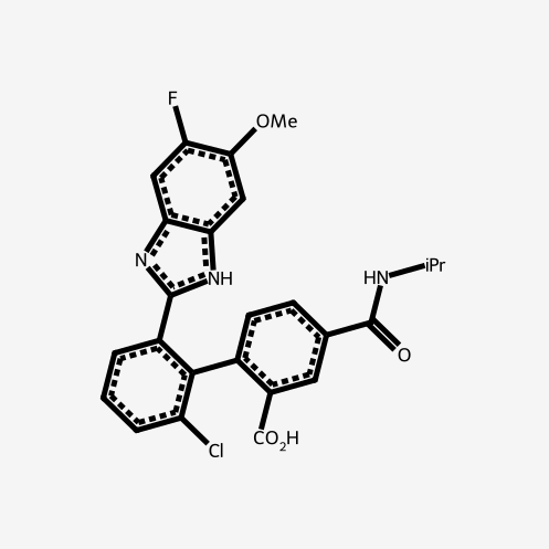 COc1cc2[nH]c(-c3cccc(Cl)c3-c3ccc(C(=O)NC(C)C)cc3C(=O)O)nc2cc1F